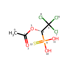 CC(=O)O[C@H](C(Cl)(Cl)Cl)P(O)(O)=S